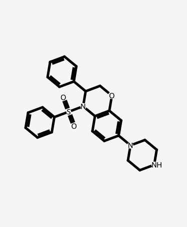 O=S(=O)(c1ccccc1)N1c2ccc(N3CCNCC3)cc2OCC1c1ccccc1